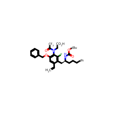 C=Cc1cc(OCc2ccccc2)c(N(CC(=O)O)C(=O)C(F)(F)F)c(F)c1C[C@H](CCCC(C)C)NC(=O)OC(C)(C)C